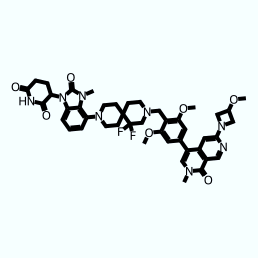 COc1cc(-c2cn(C)c(=O)c3cnc(N4CC(OC)C4)cc23)cc(OC)c1CN1CCC2(CCN(c3cccc4c3n(C)c(=O)n4C3CCC(=O)NC3=O)CC2)C(F)(F)C1